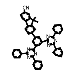 CC1(C)c2cc(C#N)ccc2-c2ccc(-c3cc(-c4nc(-c5ccccc5)nc(-c5ccccc5)n4)cc(-c4nc(-c5ccccc5)nc(-c5ccccc5)n4)c3)cc21